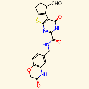 O=CC1CCc2sc3nc(C(=O)NCc4ccc5c(c4)NC(=O)CO5)[nH]c(=O)c3c21